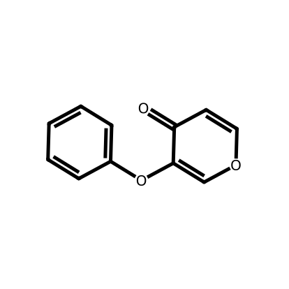 O=c1ccocc1Oc1ccccc1